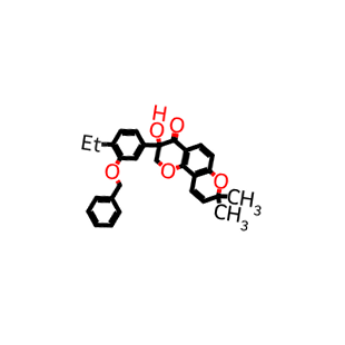 CCc1ccc(C2(O)COc3c(ccc4c3C=CC(C)(C)O4)C2=O)cc1OCc1ccccc1